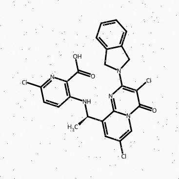 C[C@@H](Nc1ccc(Cl)nc1C(=O)O)c1cc(Cl)cn2c(=O)c(Cl)c(N3Cc4ccccc4C3)nc12